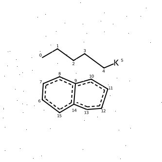 CCCC[CH2][K].c1ccc2ccccc2c1